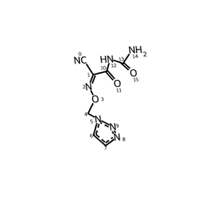 N#CC(=NOCn1ccnn1)C(=O)NC(N)=O